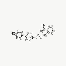 N#Cc1ccc(C2=CCN(CCCC3=Cc4ccccc4C(=O)C3)CC2)cn1